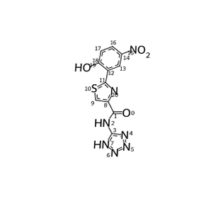 O=C(Nc1nnn[nH]1)c1csc(-c2cc([N+](=O)[O-])ccc2O)n1